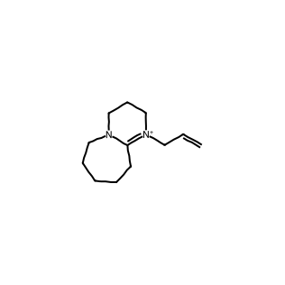 C=CC[N+]1=C2CCCCCN2CCC1